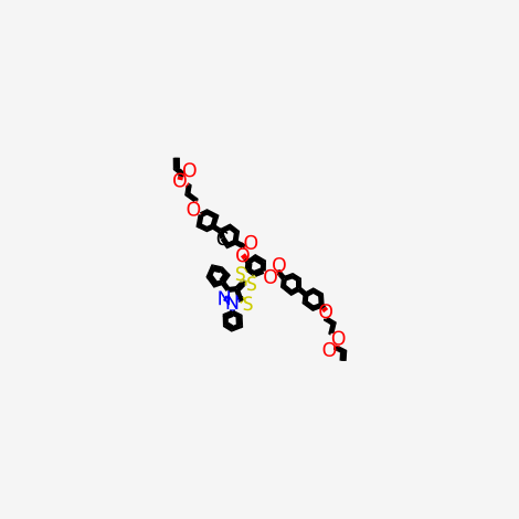 C=CC(=O)OCCCOC1CCC(C2CCC(C(=O)Oc3ccc(OC(=O)C4CCC(C5CCC(OCCCOC(=O)C=C)CC5)CC4)c4c3SC(=C3C(=S)N(c5ccccc5)N=C3c3ccccc3)S4)CC2)CC1